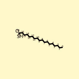 CCCCCCCCCCCCCCCCCC(=O)S